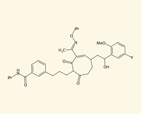 COc1ccc(F)cc1C(O)CC1/C=C(/C(C)=N/OC(C)C)C(=O)C(CCCc2cccc(C(=O)NC(C)C)c2)C(=O)CC1